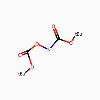 CC(C)(C)OC(=O)[N]OC(=O)OC(C)(C)C